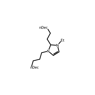 CCCCCCCCCCCCCN1C=CN(CC)C1CCCCCCCCCCCC